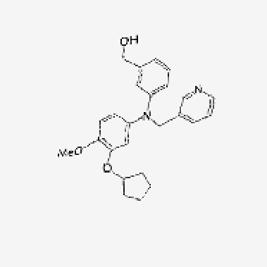 COc1ccc(N(Cc2cccnc2)c2cccc(CO)c2)cc1OC1CCCC1